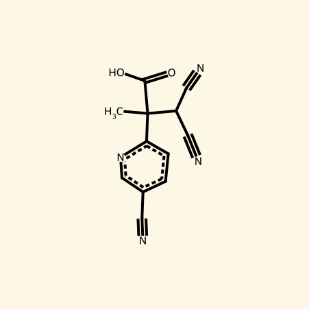 CC(C(=O)O)(c1ccc(C#N)cn1)C(C#N)C#N